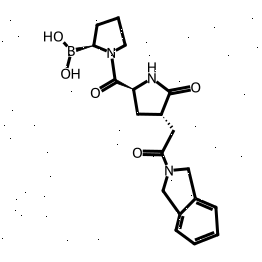 O=C1N[C@H](C(=O)N2CCC[C@@H]2B(O)O)C[C@H]1CC(=O)N1Cc2ccccc2C1